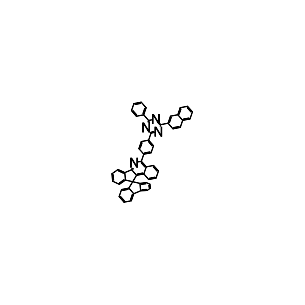 c1ccc(-c2nc(-c3ccc(-c4nc5c(c6ccccc46)C4(c6ccccc6-c6ccccc64)c4ccccc4-5)cc3)nc(-c3ccc4ccccc4c3)n2)cc1